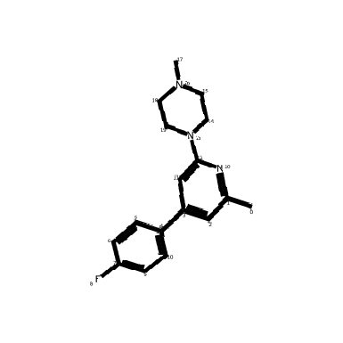 Cc1cc(-c2ccc(F)cc2)cc(N2CCN(C)CC2)n1